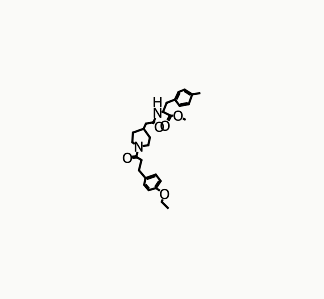 CCOc1ccc(CCC(=O)N2CCC(CC(=O)NC(Cc3ccc(C)cc3)C(=O)OC)CC2)cc1